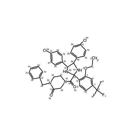 CCOc1cc(C(F)(F)F)ccc1C1(C(=O)N2CCN(Cc3ccccc3)C(=O)C2)NC(c2ccc(Cl)cc2)C(c2ccc(Cl)cc2)N1